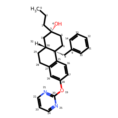 CCC[C@@]1(O)CC[C@@]2(Cc3ccccc3)c3ccc(Oc4ncccn4)cc3CC[C@@H]2C1